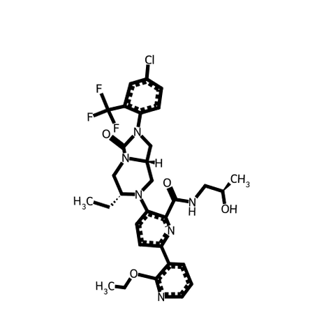 CCOc1ncccc1-c1ccc(N2C[C@H]3CN(c4ccc(Cl)cc4C(F)(F)F)C(=O)N3C[C@H]2CC)c(C(=O)NC[C@@H](C)O)n1